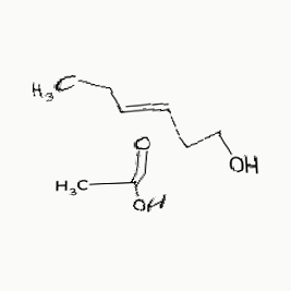 CC(=O)O.CCC=CCCO